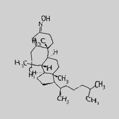 CC(C)CCC[C@@H](C)[C@H]1CC[C@H]2[C@H]3[C@H](CC[C@]12C)[C@@]1(C)CCC(=NO)C=C1CC3(C)C